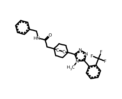 Cn1c(-c2ccccc2C(F)(F)F)nnc1C12CCC(CC(=O)NCc3ccccc3)(CC1)CC2